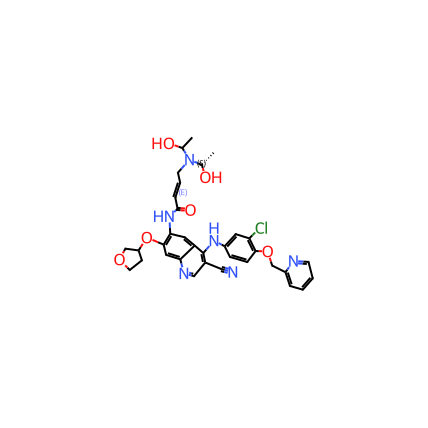 CC(O)N(C/C=C/C(=O)Nc1cc2c(Nc3ccc(OCc4ccccn4)c(Cl)c3)c(C#N)cnc2cc1OC1CCOC1)[C@H](C)O